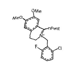 CCCCCC1=[N+](Cc2c(F)cccc2Cl)CCc2cc(OC)c(OC)cc21